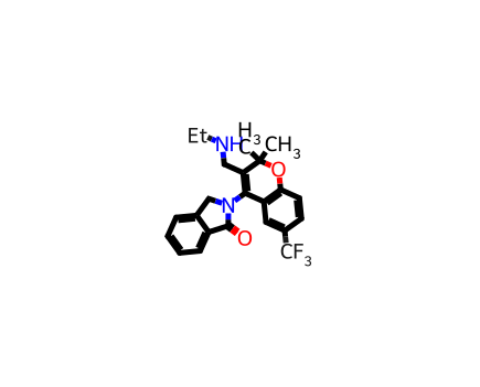 CCNCC1=C(N2Cc3ccccc3C2=O)c2cc(C(F)(F)F)ccc2OC1(C)C